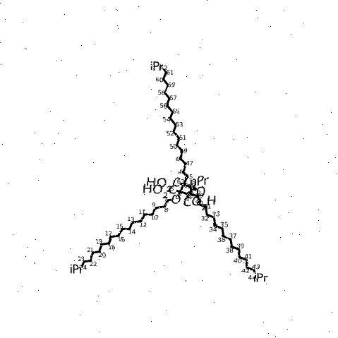 CCCC(=O)C(C(=O)O)C(OCCCCCCCCCCCCCCCCCC(C)C)(C(=O)O)C(CCCCCCCCCCCCCCCCCC(C)C)(CCCCCCCCCCCCCCCCCC(C)C)C(=O)O